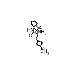 COc1ccc(CCN2C(=O)NCC2(N)C2(c3ccccc3)CC2)cc1